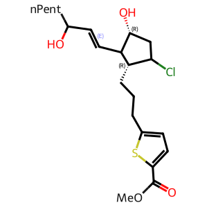 CCCCCC(O)/C=C/C1[C@@H](CCCc2ccc(C(=O)OC)s2)C(Cl)C[C@H]1O